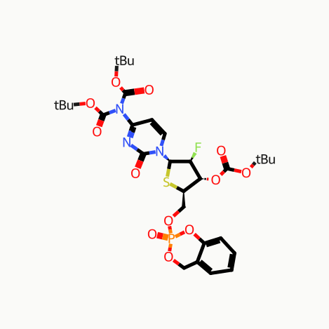 CC(C)(C)OC(=O)O[C@H]1[C@H](F)[C@H](n2ccc(N(C(=O)OC(C)(C)C)C(=O)OC(C)(C)C)nc2=O)S[C@@H]1COP1(=O)OCc2ccccc2O1